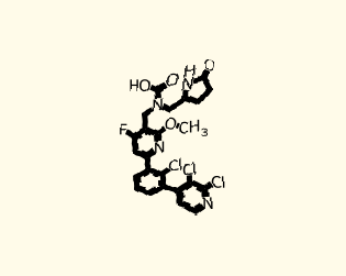 COc1nc(-c2cccc(-c3ccnc(Cl)c3Cl)c2Cl)cc(F)c1CN(CC1CCC(=O)N1)C(=O)O